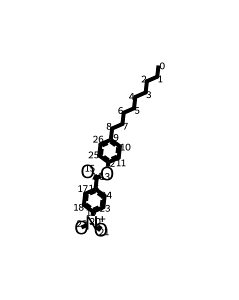 CCCCCCCCCc1ccc(OC(=O)c2ccc([N+](=O)[O-])cc2)cc1